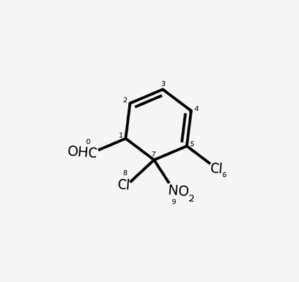 O=CC1C=CC=C(Cl)C1(Cl)[N+](=O)[O-]